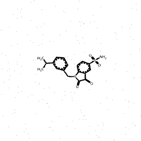 CC(C)c1cccc(CN2C(=O)C(=O)c3cc(S(N)(=O)=O)ccc32)c1